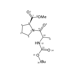 COC(=O)[C@@H]1CCCN1C(=O)C(C)NC(=O)OC(C)(C)C